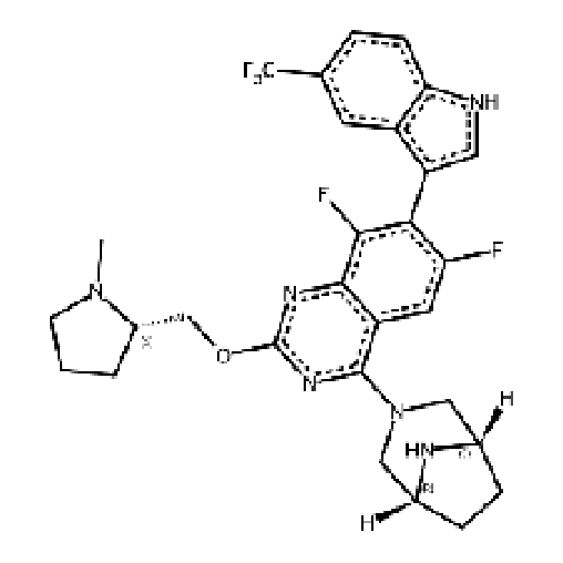 CN1CCC[C@H]1COc1nc(N2C[C@H]3CC[C@@H](C2)N3)c2cc(F)c(-c3c[nH]c4ccc(C(F)(F)F)cc34)c(F)c2n1